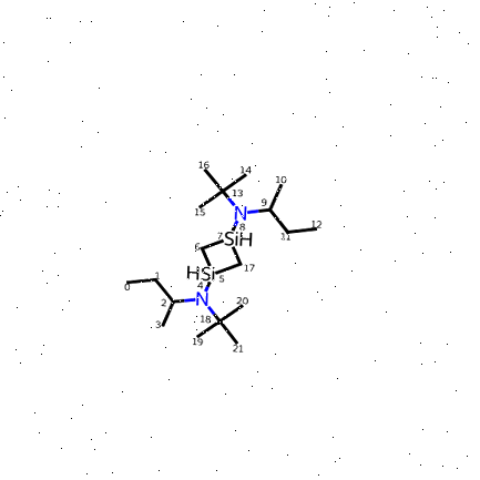 CCC(C)N([SiH]1C[SiH](N(C(C)CC)C(C)(C)C)C1)C(C)(C)C